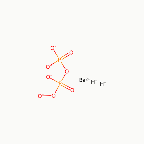 O=P([O-])([O-])OP(=O)([O-])O[O-].[Ba+2].[H+].[H+]